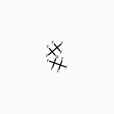 FC(F)(F)C(F)(F)[Si]C(F)(F)C(F)(F)F